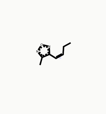 CC/C=C\c1nonc1C